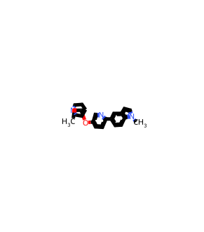 CC1C(Oc2ccc(-c3ccc4c(ccn4C)c3)nc2)C2CCN1CC2